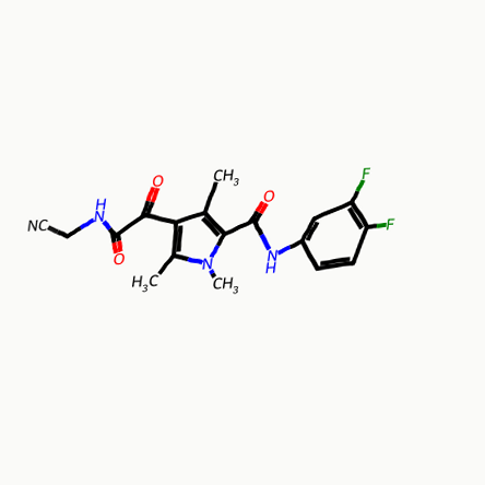 Cc1c(C(=O)C(=O)NCC#N)c(C)n(C)c1C(=O)Nc1ccc(F)c(F)c1